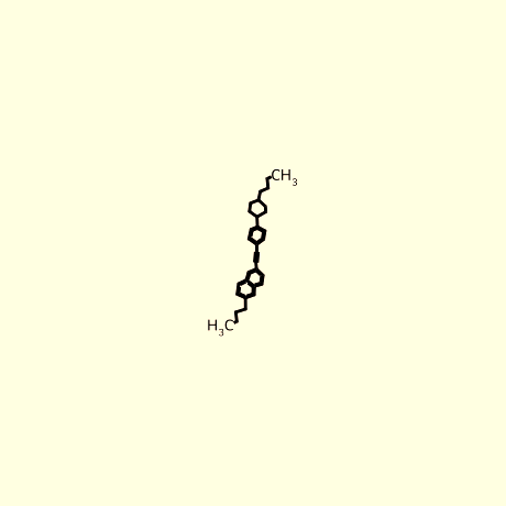 CCCCc1ccc2cc(C#Cc3ccc(C4CCC(CCCC)CC4)cc3)ccc2c1